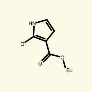 CCC(C)OC(=O)c1cc[nH]c1[O]